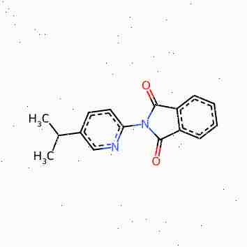 CC(C)c1ccc(N2C(=O)c3ccccc3C2=O)nc1